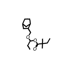 CCC(OCC1CC2CCC1C2)OC(=O)C(C)(C)CC